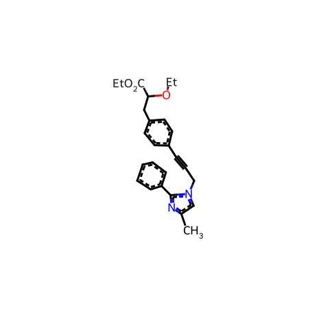 CCOC(=O)C(Cc1ccc(C#CCn2cc(C)nc2-c2ccccc2)cc1)OCC